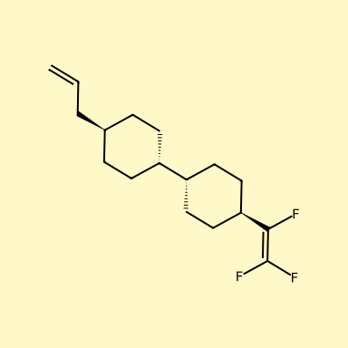 C=CC[C@H]1CC[C@H]([C@H]2CC[C@H](C(F)=C(F)F)CC2)CC1